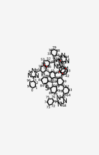 c1ccc(-c2ncnc(-c3cccc(-c4cc(-c5cccc(-c6ncnc(-c7ccccc7)n6)c5)cc(C5(c6cc(-c7cccc(-c8ncnc(-c9ccccc9)n8)c7)cc(-c7cccc(-c8ncnc(-c9ccccc9)n8)c7)c6)c6ccccc6Sc6ccccc65)c4)c3)n2)cc1